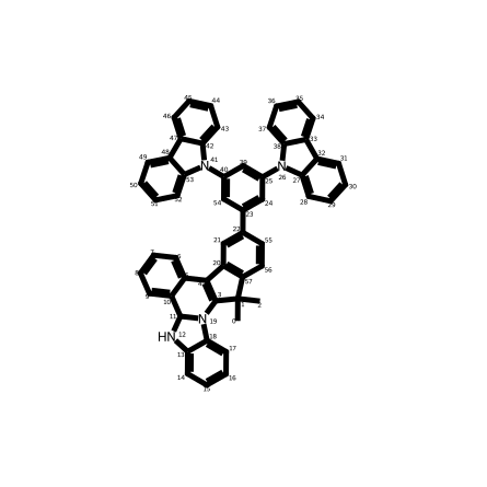 CC1(C)C2=C(c3ccccc3C3Nc4ccccc4N23)c2cc(-c3cc(-n4c5ccccc5c5ccccc54)cc(-n4c5ccccc5c5ccccc54)c3)ccc21